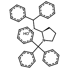 O[C@H](C(c1ccccc1)c1ccccc1)[C@H]1CCCN1C(c1ccccc1)(c1ccccc1)c1ccccc1